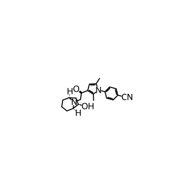 Cc1cc(C(=O)CN2[C@H]3CCC[C@@H]2[C@H](O)C3)c(C)n1-c1ccc(C#N)cc1